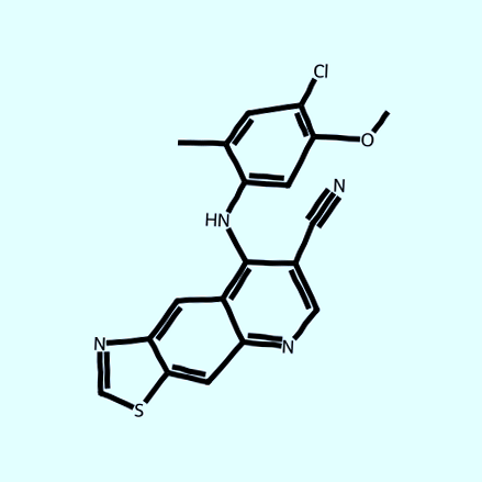 COc1cc(Nc2c(C#N)cnc3cc4scnc4cc23)c(C)cc1Cl